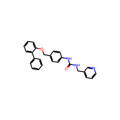 O=C(NCc1cccnc1)Nc1ccc(COc2ccccc2-c2ccccc2)cc1